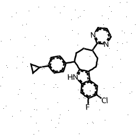 Fc1cc2[nH]c3c(c2cc1Cl)CCC(c1ncccn1)CCC3c1ccc(C2CC2)cc1